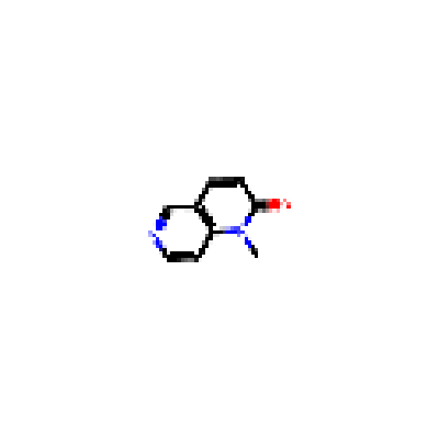 Cn1c(=O)ccc2cnccc21